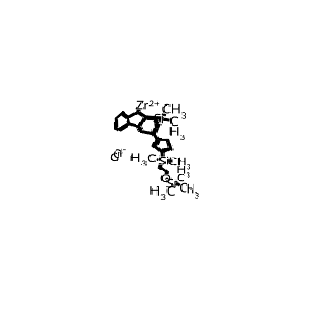 C[Si](C)(C)OCC[Si](C)(C)C1=CCC(c2cc3c(c4c2[Si]4(C)C)[CH]([Zr+2])c2ccccc2-3)=C1.[Cl-].[Cl-]